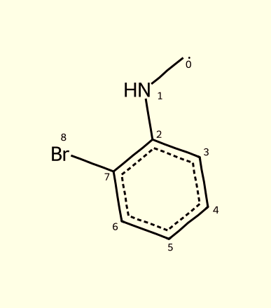 [CH2]Nc1ccccc1Br